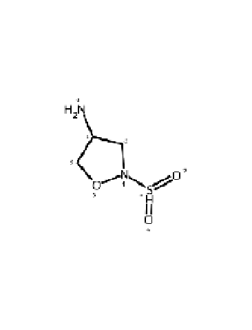 NC1CON([SH](=O)=O)C1